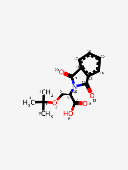 CC(C)(C)OC[C@H](C(=O)O)N1C(=O)c2ccccc2C1=O